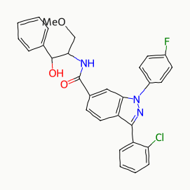 COCC(NC(=O)c1ccc2c(-c3ccccc3Cl)nn(-c3ccc(F)cc3)c2c1)C(O)c1ccccc1